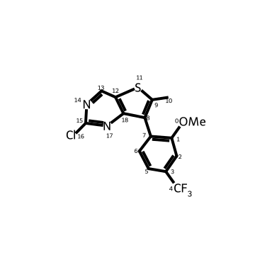 COc1cc(C(F)(F)F)ccc1-c1c(C)sc2cnc(Cl)nc12